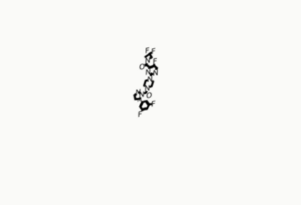 O=C(c1nc(N2CCN(C(=O)N3N=CC[C@H]3c3cc(F)cc(F)c3)CC2)ncc1F)N1CC(F)(F)C1